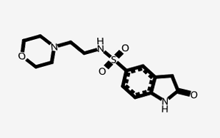 O=C1Cc2cc(S(=O)(=O)NCCN3CCOCC3)ccc2N1